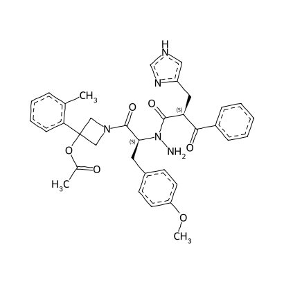 COc1ccc(C[C@@H](C(=O)N2CC(OC(C)=O)(c3ccccc3C)C2)N(N)C(=O)[C@@H](Cc2c[nH]cn2)C(=O)c2ccccc2)cc1